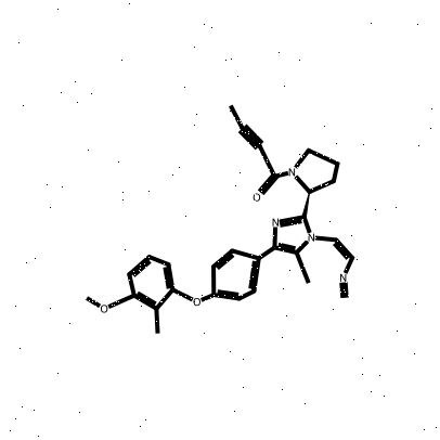 C=N/C=C\n1c([C@@H]2CCCN2C(=O)C#CC)nc(-c2ccc(Oc3cccc(OC)c3C)cc2)c1C